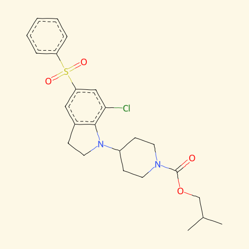 CC(C)COC(=O)N1CCC(N2CCc3cc(S(=O)(=O)c4ccccc4)cc(Cl)c32)CC1